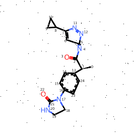 C[C@H](C(=O)N=C1C=C(C2CC2)N=N1)c1ccc(N2CCNC2=O)cc1